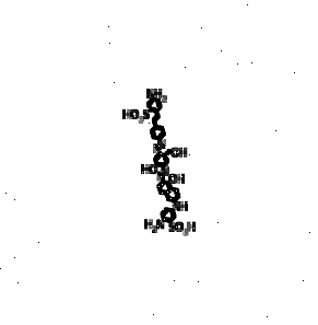 Nc1ccc(C=Cc2ccc(N=Nc3cc(O)c(N=Nc4ccc5cc(Nc6ccc(N)c(S(=O)(=O)O)c6)ccc5c4O)cc3CO)cc2)c(S(=O)(=O)O)c1